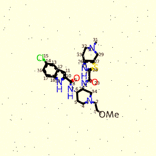 COCCN1CC[C@H](NC(=O)c2cc3cc(Cl)ccc3[nH]2)[C@H](NC(=O)c2nc3c(s2)CN(C)CC3)C1